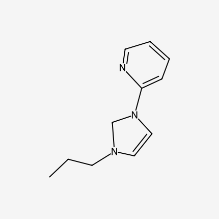 CCCN1C=CN(c2ccccn2)C1